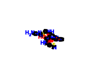 Cc1ncsc1-c1ccc([C@H](C)NC(=O)[C@@H]2C[C@@H](O)CN2C(=O)[C@@H](NC(=O)c2ccc(N3CC4CCC(C3)N4CCCCCCCCC(=O)Nc3cccc(Sc4cnc(N5CCC(C)(N)CC5)cn4)c3)nn2)C(C)(C)C)cc1